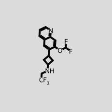 FC(F)Oc1cc2ncccc2cc1C1CC(NCC(F)(F)F)C1